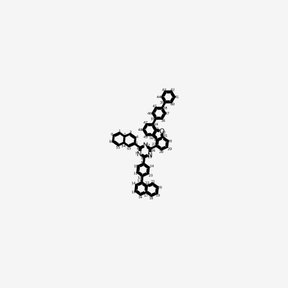 C1=CC2C=CC(c3nc(-c4ccc(-c5cccc6ccccc56)cc4)nc(-c4cccc5oc6c(-c7ccc(-c8ccccc8)cc7)cccc6c45)n3)=CC2C=C1